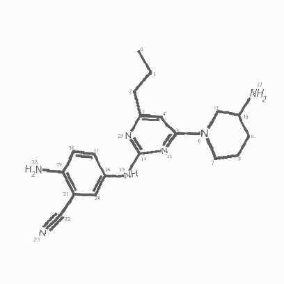 CCCc1cc(N2CCCC(N)C2)nc(Nc2ccc(N)c(C#N)c2)n1